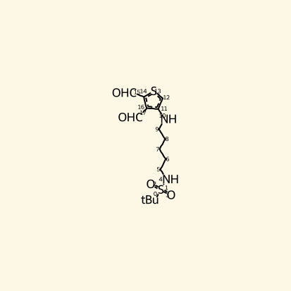 CC(C)(C)S(=O)(=O)NCCCCCNc1csc(C=O)c1C=O